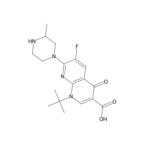 CC1CN(c2nc3c(cc2F)c(=O)c(C(=O)O)cn3C(C)(C)C)CCN1